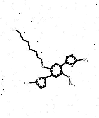 CCCCCCCCOc1cc(-c2ccc(C)s2)c(OC)cc1-c1ccc(C)s1